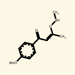 CBO/C(C)=C\C(=O)c1ccc(OC)cc1